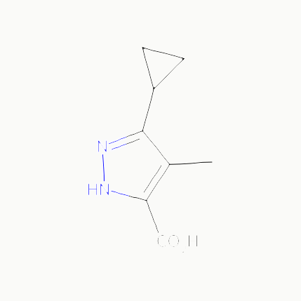 Cc1c(C2CC2)n[nH]c1C(=O)O